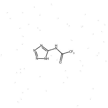 O=C(Nc1nnn[nH]1)C(F)(F)F